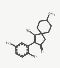 CCc1ccc(O)cc1C1=C(O)C2(CCC(OC)CC2)CC1=O